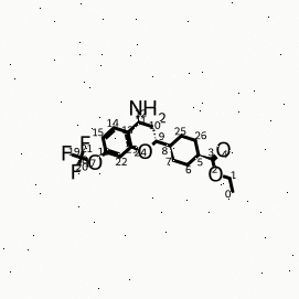 CCOC(=O)[C@H]1CC[C@@H]([C@H]2C[C@@H](N)c3ccc(OC(F)(F)F)cc3O2)CC1